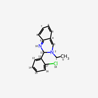 CCN1C=c2ccccc2=NC1c1ccccc1Cl